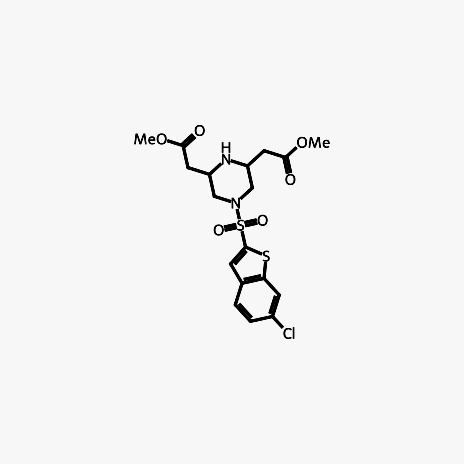 COC(=O)CC1CN(S(=O)(=O)c2cc3ccc(Cl)cc3s2)CC(CC(=O)OC)N1